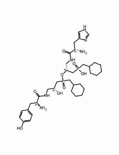 N[C@@H](Cc1ccc(O)cc1)C(=O)NC[C@@H](O)CP(=O)(CC1CCCCC1)O[C@H](CNC(=O)[C@@H](N)Cc1c[nH]cn1)CP(=O)(O)CC1CCCCC1